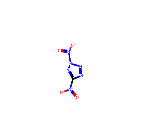 O=[N+]([O-])c1nnn([N+](=O)[O-])n1